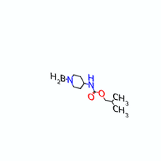 BN1CCC(NC(=O)OCC(C)C)CC1